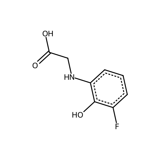 O=C(O)CNc1cccc(F)c1O